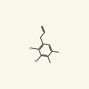 C=CCc1cc(C)c(C)c(Cl)c1Cl